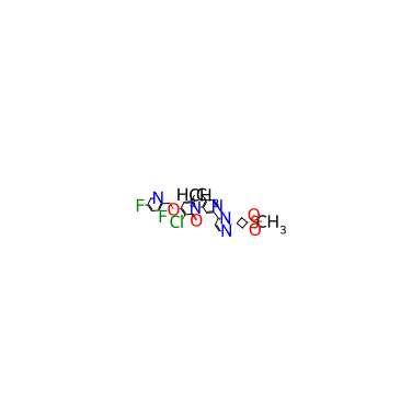 Cc1cnc(-c2ccnc([C@H]3C[C@@H](S(C)(=O)=O)C3)n2)cc1-n1c(C)cc(OCc2ncc(F)cc2F)c(Cl)c1=O